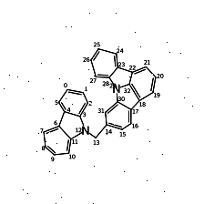 c1ccc2c(c1)c1ccccc1n2Cc1ccc2c3cccc4c5ccccc5n(c2c1)c43